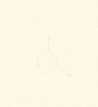 CC(C)(C)c1ccc(Cl)c(C(=O)Cl)c1Cl